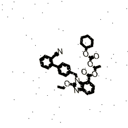 CCOc1nc2cccc(C(=O)OC(C)OC(=O)OC3CCCCC3)c2n1Cc1ccc(-c2ccccc2C#N)cc1